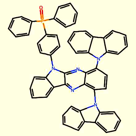 O=P(c1ccccc1)(c1ccccc1)c1ccc(-n2c3ccccc3c3nc4c(-n5c6ccccc6c6ccccc65)ccc(-n5c6ccccc6c6ccccc65)c4nc32)cc1